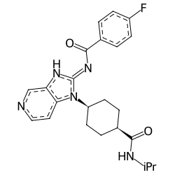 CC(C)NC(=O)[C@H]1CC[C@@H](n2/c(=N/C(=O)c3ccc(F)cc3)[nH]c3cnccc32)CC1